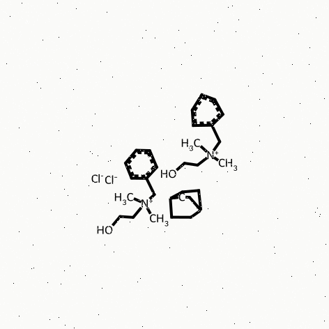 C1CC2CCC1CC2.C[N+](C)(CCO)Cc1ccccc1.C[N+](C)(CCO)Cc1ccccc1.[Cl-].[Cl-]